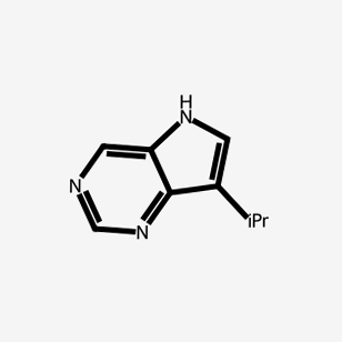 CC(C)c1c[nH]c2cncnc12